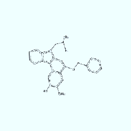 CCCCC(CC)Cn1c2ccccc2c2c3cc(O)c(OC)cc3c(OCc3ccccc3)cc21